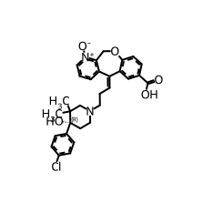 CC1(C)CN(CCC=C2c3cc(C(=O)O)ccc3OCc3c2ccc[n+]3[O-])CC[C@@]1(O)c1ccc(Cl)cc1